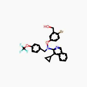 OCc1cc(ON(Cc2ccc(OC(F)(F)F)cc2)c2ncc3ccccc3c2C2CC2)ccc1Br